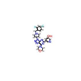 Oc1cncc(-c2nc(N3CCOCC3)c3nnn(C4CCN(Cc5ccc(F)cc5F)CC4)c3n2)c1